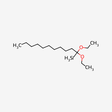 CCCCCCCCCCC([SiH3])(OCC)OCC